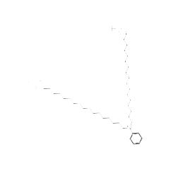 CCCCCCCCCCCCCCCCCCN(CCCCCCCCCCCCCCCCCC)c1ccccc1